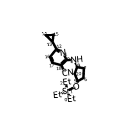 CC[Si](CC)(CC)OC1CC[C@H](Nc2nc(C3CC3)ccc2C#N)C1